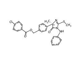 CSC1=N[C@](C)(c2ccc(COC(=O)c3ccc(Cl)cc3)cc2)C(=O)N1Nc1ccccc1